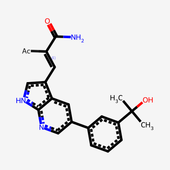 CC(=O)/C(=C\c1c[nH]c2ncc(-c3cccc(C(C)(C)O)c3)cc12)C(N)=O